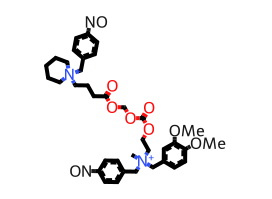 COc1ccc(C[N+](C)(CCOC(=O)OCOC(=O)CCC[N+]2(Cc3ccc(N=O)cc3)CCCCC2)Cc2ccc(N=O)cc2)cc1OC